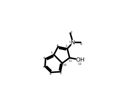 CN(C)C1=Cc2ccccc2C1O